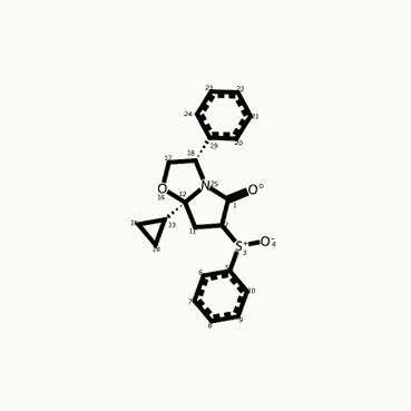 O=C1C([S+]([O-])c2ccccc2)C[C@@]2(C3CC3)OC[C@H](c3ccccc3)N12